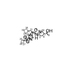 C=C(O)c1ccc(NC(=O)[C@H](CC2CCCC2)n2cnc(S(=O)(=O)C3CCC3)c2)nc1